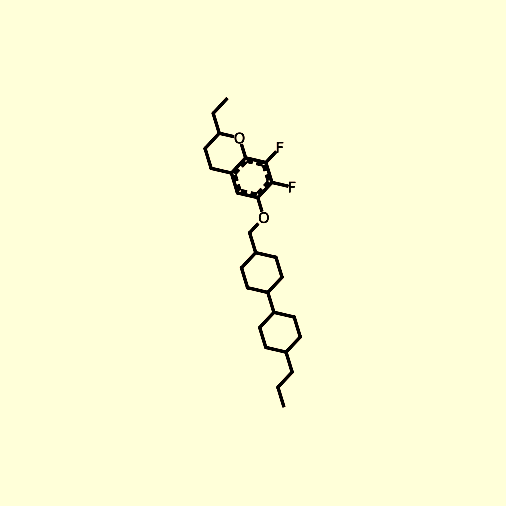 CCCC1CCC(C2CCC(COc3cc4c(c(F)c3F)OC(CC)CC4)CC2)CC1